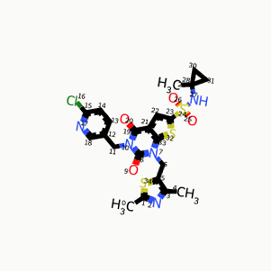 Cc1nc(C)c(Cn2c(=O)n(Cc3ccc(Cl)nc3)c(=O)c3cc(S(=O)(=O)NC4(C)CC4)sc32)s1